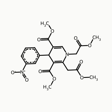 COC(=O)CC1=C(C(=O)OC)C(c2cccc([N+](=O)[O-])c2)C(C(=O)OC)=CN1CC(=O)OC